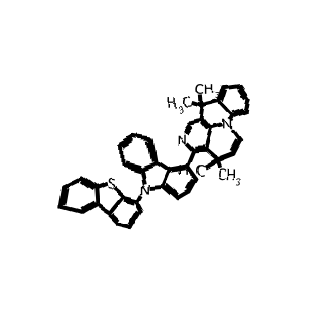 CC1(C)C=CN2c3ccccc3C(C)(C)c3cnc(-c4cccc5c4c4ccccc4n5-c4cccc5c4sc4ccccc45)c1c32